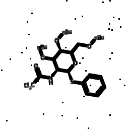 CCCCOCC1O[C@@H](Sc2ccccc2)[C@@H](NC(=O)C(Cl)(Cl)Cl)C(OCCCC)[C@H]1OCCCC